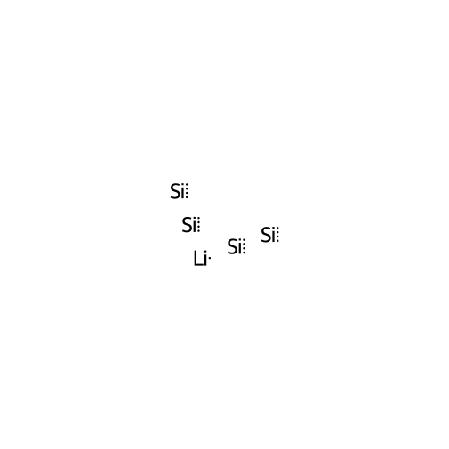 [Li].[Si].[Si].[Si].[Si]